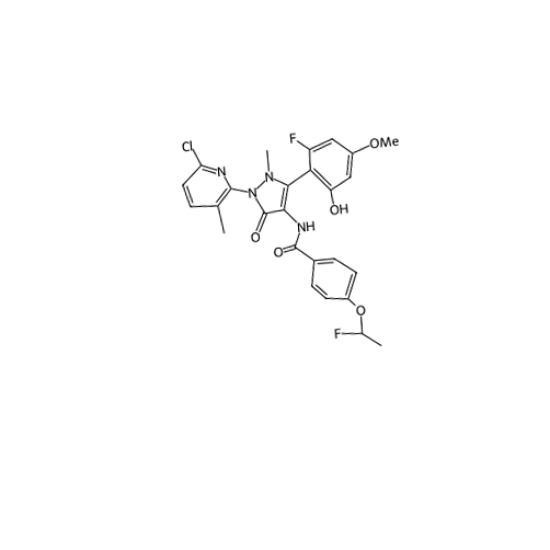 COc1cc(O)c(-c2c(NC(=O)c3ccc(OC(C)F)cc3)c(=O)n(-c3nc(Cl)ccc3C)n2C)c(F)c1